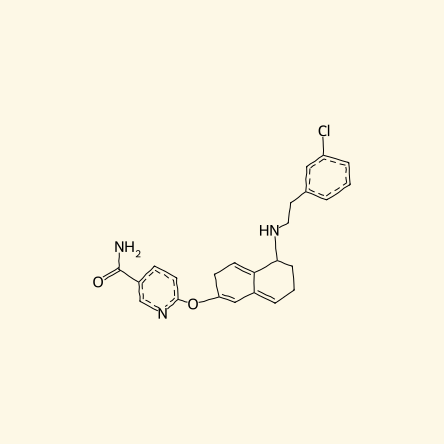 NC(=O)c1ccc(OC2=CC3=CCCC(NCCc4cccc(Cl)c4)C3=CC2)nc1